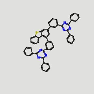 c1ccc(-c2nc(-c3ccccc3)nc(-c3cccc(-c4cc(-c5cccc(-c6nc(-c7ccccc7)nc(-c7ccccc7)n6)c5)c5c(c4)sc4ccccc45)c3)n2)cc1